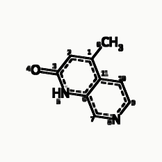 Cc1cc(=O)[nH]c2cnccc12